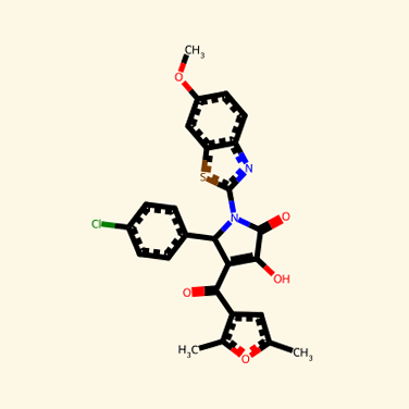 COc1ccc2nc(N3C(=O)C(O)=C(C(=O)c4cc(C)oc4C)C3c3ccc(Cl)cc3)sc2c1